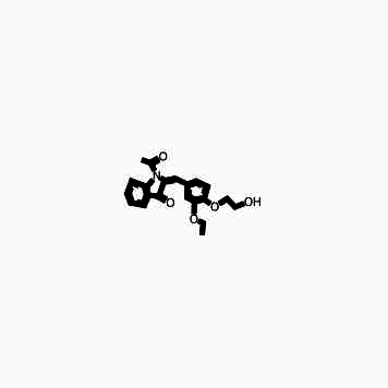 CCOc1cc(C=C2C(=O)c3ccccc3N2C(C)=O)ccc1OCCO